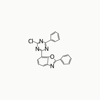 Clc1nc(-c2ccccc2)nc(-c2cccc3nc(-c4ccccc4)oc23)n1